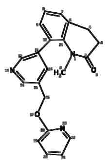 CN1C(=O)CCc2cccc(-c3cncc(COc4ccccn4)c3)c21